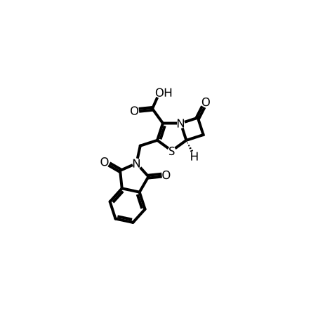 O=C(O)C1=C(CN2C(=O)c3ccccc3C2=O)S[C@@H]2CC(=O)N12